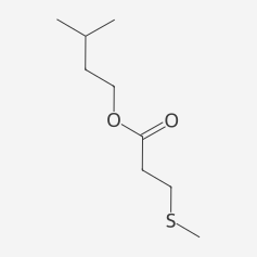 CSCCC(=O)OCCC(C)C